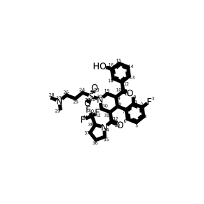 Cc1c(F)cccc1C1C(C(=O)c2cccc(O)c2)CN(S(=O)(=O)CCCN(C)C)CC1C(=O)N1CCCC1C(F)(F)F